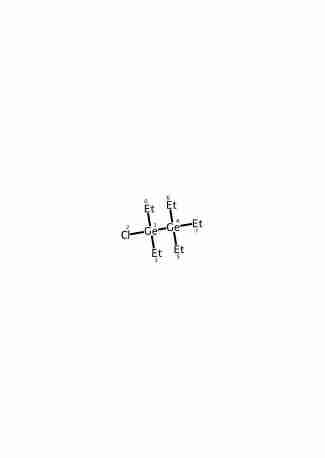 C[CH2][Ge]([Cl])([CH2]C)[Ge]([CH2]C)([CH2]C)[CH2]C